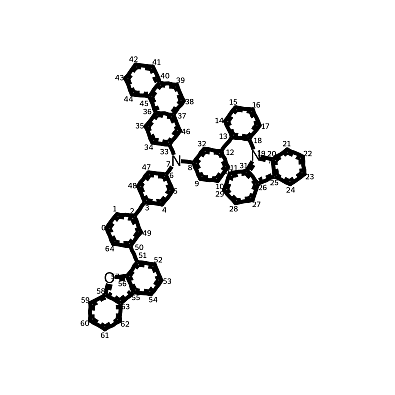 c1cc(-c2ccc(N(c3cccc(-c4ccccc4-n4c5ccccc5c5ccccc54)c3)c3ccc4c(ccc5ccccc54)c3)cc2)cc(-c2cccc3c2oc2ccccc23)c1